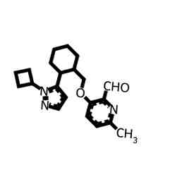 Cc1ccc(OCC2CCCCC2c2ccnn2C2CCC2)c(C=O)n1